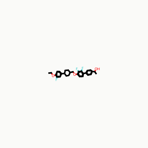 CCOc1ccc(C2CCC(COc3ccc(-c4ccc(C(C)O)cc4)c(F)c3F)CC2)cc1F